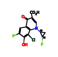 O=C(O)c1cn([C@@H]2C[C@@H]2F)c2c(Cl)c(O)c(F)cc2c1=O